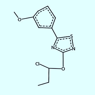 CCC(Cl)Oc1nsc(-c2cccc(OC)c2)n1